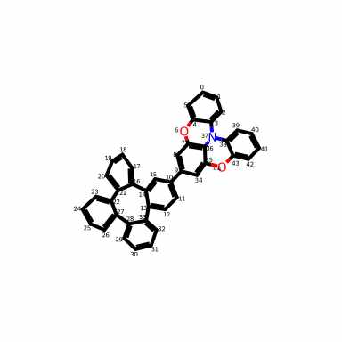 c1ccc2c(c1)Oc1cc(-c3ccc4c(c3)-c3ccccc3-c3ccccc3-c3ccccc3-4)cc3c1N2c1ccccc1O3